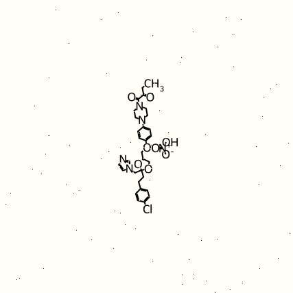 CCC(=O)C(=O)N1CCN(c2ccc(OCC3COC(CCc4ccc(Cl)cc4)(Cn4ccnc4)O3)cc2)CC1.O=[N+]([O-])O